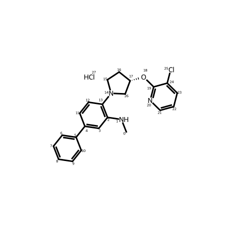 CNc1cc(-c2ccccc2)ccc1N1CC[C@H](Oc2ncccc2Cl)C1.Cl